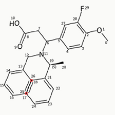 COc1ccc(C(CC(=O)O)N(Cc2ccccc2)[C@@H](C)c2ccccc2)cc1F